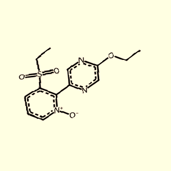 CCOc1cnc(-c2c(S(=O)(=O)CC)ccc[n+]2[O-])cn1